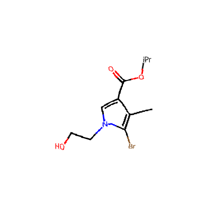 Cc1c(C(=O)OC(C)C)cn(CCO)c1Br